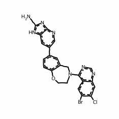 Nc1nc2ncc(-c3ccc4c(c3)CN(c3ncnc5cc(Cl)c(Br)cc35)CCO4)cc2[nH]1